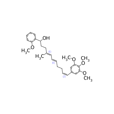 COc1ccccc1C(O)CC/C(C)=C/C=C/CC/C=C\c1cc(OC)c(OC)c(OC)c1